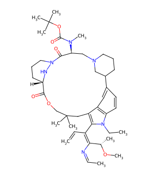 C=C/C(=C(\N=C/C)[C@H](C)OC)c1c2c3cc(ccc3n1CC)C1CCCN(C1)C[C@H](N(C)C(=O)OC(C)(C)C)C(=O)N1CCC[C@H](N1)C(=O)OCC(C)(C)C2